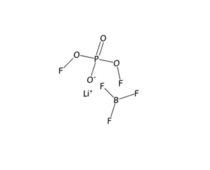 FB(F)F.O=P([O-])(OF)OF.[Li+]